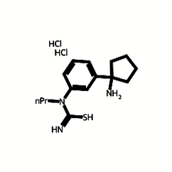 CCCN(C(=N)S)c1cccc(C2(N)CCCC2)c1.Cl.Cl